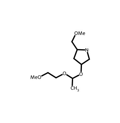 COCCOC(C)OC1C[N]C(COC)C1